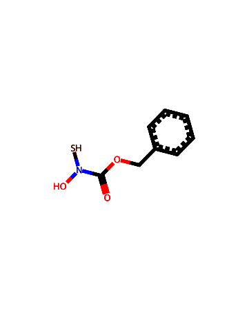 O=C(OCc1ccccc1)N(O)S